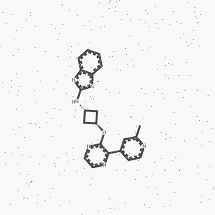 Cc1cc(-c2nccnc2O[C@H]2C[C@H](Nc3nc4ccccc4s3)C2)ccn1